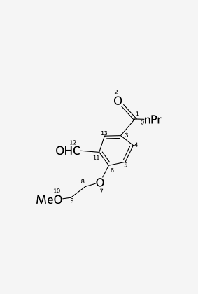 CCCC(=O)c1ccc(OCCOC)c(C=O)c1